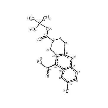 CC(C)(C)OC(=O)N1CCc2nc3ccc(Cl)cc3c(C(=O)O)c2C1